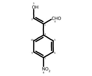 O=C/C(=C\O)c1ccc([N+](=O)[O-])cc1